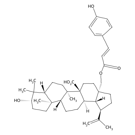 C=C(C)[C@@H]1CC[C@]2(COC(=O)/C=C/c3ccc(O)cc3)CC[C@]3(C(=O)O)[C@H](CC[C@@H]4[C@@]5(C)CC[C@H](O)C(C)(C)[C@@H]5CC[C@]43C)[C@@H]12